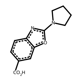 O=C(O)c1ccc2nc(N3CCCC3)oc2c1